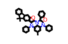 Cc1cc2c3c(c1)N(c1ccccc1)c1c(oc4cc5c(cc14)C(C)(C)c1ccccc1-5)N3c1c(oc3ccccc13)N2c1ccccc1